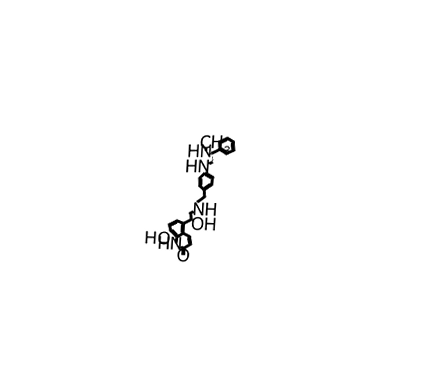 CN[C@@H](CNc1ccc(CCNC[C@H](O)c2ccc(O)c3[nH]c(=O)ccc23)cc1)c1ccccc1